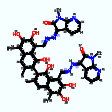 CCN1C(=O)/C(=N\N=C\c2c(O)c(O)c(C(C)C)c3cc(C)c(-c4c(C)cc5c(C(C)C)c(O)c(O)c(/C=N/N=C6/C(=O)N(CC)c7ncccc76)c5c4O)c(O)c23)c2cccnc21